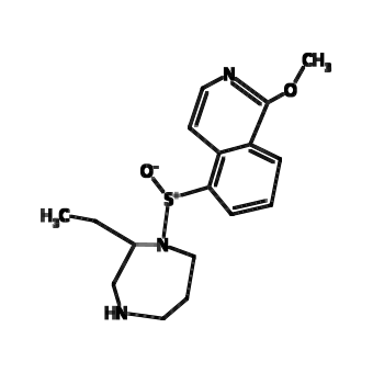 CCC1CNCCCN1[S+]([O-])c1cccc2c(OC)nccc12